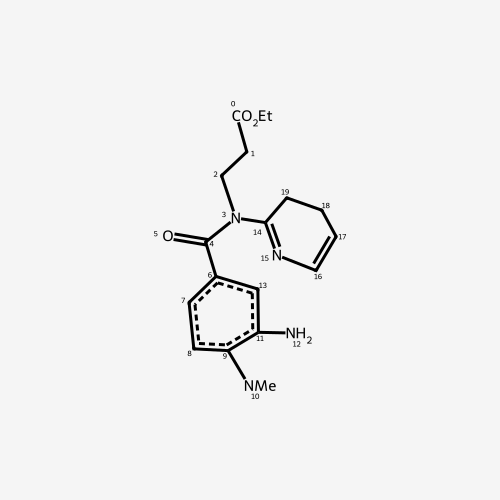 CCOC(=O)CCN(C(=O)c1ccc(NC)c(N)c1)C1=NC=CCC1